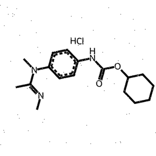 CN=C(C)N(C)c1ccc(NC(=O)OC2CCCCC2)cc1.Cl